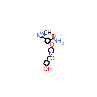 Cn1cncc1-c1ccc(OC2CCN(C(=O)Cc3ccc(O)cc3)CC2)c(C(N)=O)c1